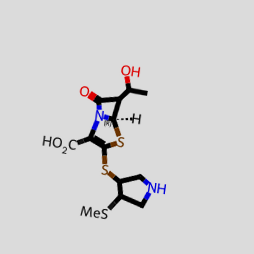 CSC1CNCC1SC1=C(C(=O)O)N2C(=O)C(C(C)O)[C@H]2S1